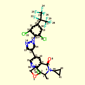 CC(C1CCO1)N(C(=O)c1cc(-c2cnn(-c3c(Cl)cc(C(F)(C(F)(F)F)C(F)(F)F)cc3Cl)c2)cnc1Cl)C1CC1